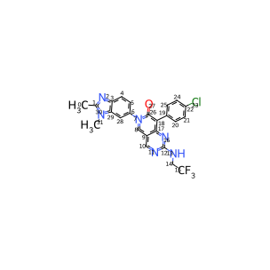 Cc1nc2ccc(-n3cc4cnc(NCC(F)(F)F)nc4c(-c4ccc(Cl)cc4)c3=O)cc2n1C